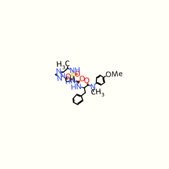 COc1ccc(N(C)C(=O)C(Cc2ccccc2)NC(=O)NS(=O)(=O)NC(C)c2ncnn2C)cc1